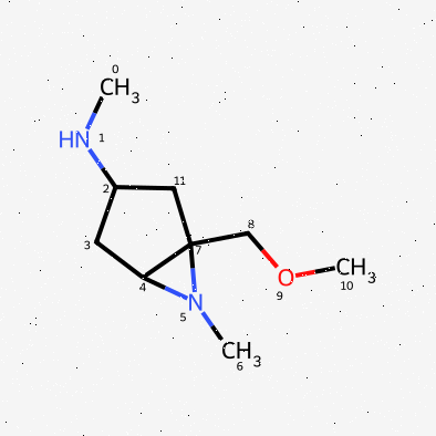 CNC1CC2N(C)C2(COC)C1